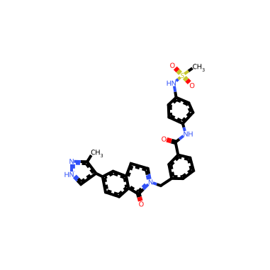 Cc1n[nH]cc1-c1ccc2c(=O)n(Cc3cccc(C(=O)Nc4ccc(NS(C)(=O)=O)cc4)c3)ccc2c1